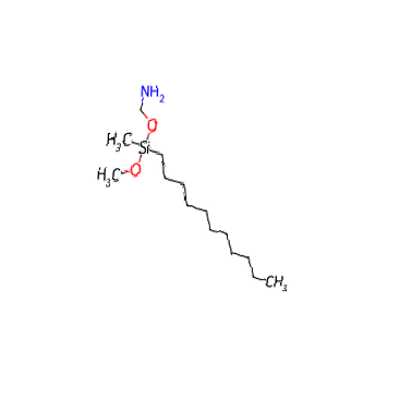 CCCCCCCCCCC[Si](C)(OC)OCN